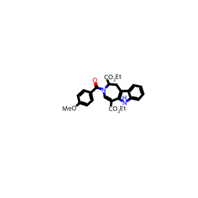 CCOC(=O)C1=CN(C(=O)c2ccc(OC)cc2)C(C(=O)OCC)Cc2c1[nH]c1ccccc21